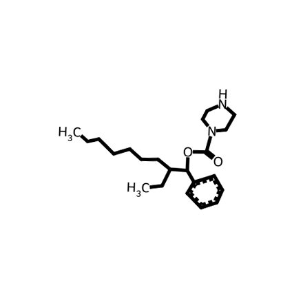 CCCCCCCC(CC)C(OC(=O)N1CCNCC1)c1ccccc1